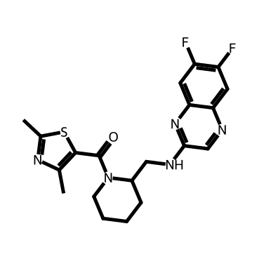 Cc1nc(C)c(C(=O)N2CCCCC2CNc2cnc3cc(F)c(F)cc3n2)s1